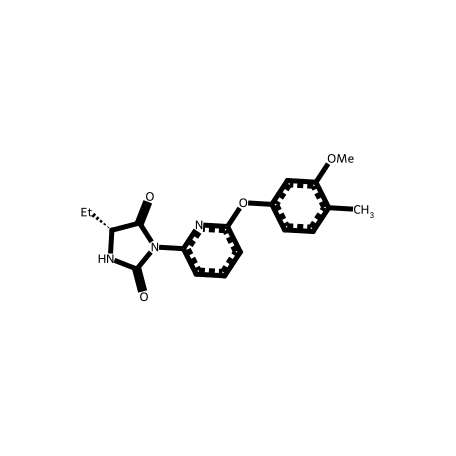 CC[C@H]1NC(=O)N(c2cccc(Oc3ccc(C)c(OC)c3)n2)C1=O